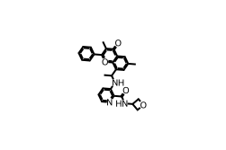 Cc1cc(C(C)Nc2cccnc2C(=O)NC2COC2)c2oc(-c3ccccc3)c(C)c(=O)c2c1